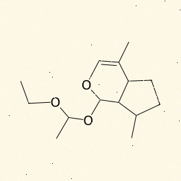 CCOC(C)OC1OC=C(C)C2CCC(C)C12